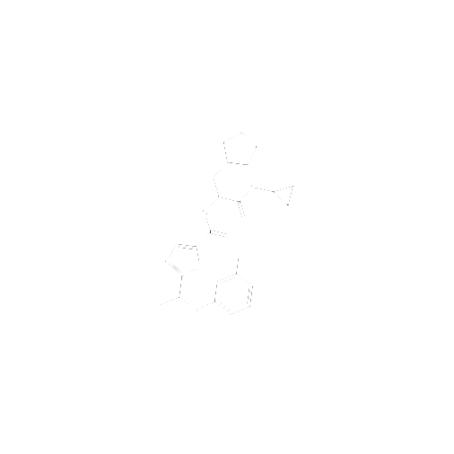 CC(Nc1cccc(Cl)c1)c1ncc(C(=O)NC(CC2CCCC2)C(=O)NC2CC2)s1